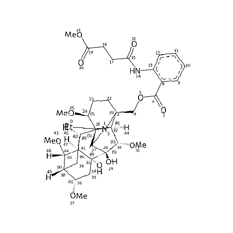 CCN1C[C@]2(COC(=O)c3ccccc3NC(=O)CCC(=O)OC)CC[C@H](OC)[C@]34C1[C@](O)([C@@H](OC)[C@H]23)[C@@]1(O)C[C@H](OC)[C@H]2C[C@@H]4[C@@H]1[C@H]2OC